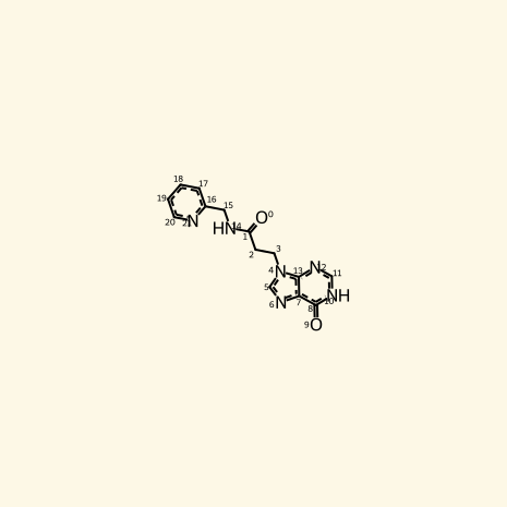 O=C(CCn1cnc2c(=O)[nH]cnc21)NCc1ccccn1